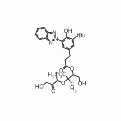 CC(OC(C)(C)C(CO)OC(=O)CCc1cc(-n2nc3ccccc3n2)c(O)c(C(C)(C)C)c1)C(=O)CO